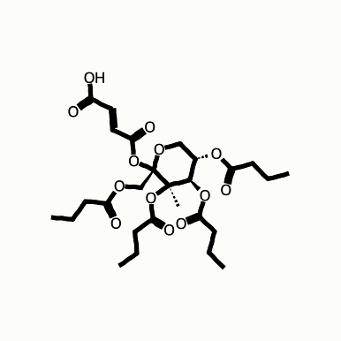 CCCC(=O)OC[C@@]1(OC(=O)/C=C/C(=O)O)OC[C@H](OC(=O)CCC)[C@@H](OC(=O)CCC)[C@@]1(C)OC(=O)CCC